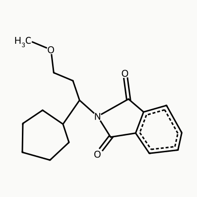 COCCC(C1CCCCC1)N1C(=O)c2ccccc2C1=O